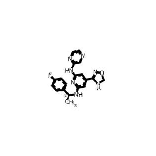 C[C@H](Nc1cc(C2=NOCN2)cc(Nc2cnccn2)n1)c1ccc(F)cc1